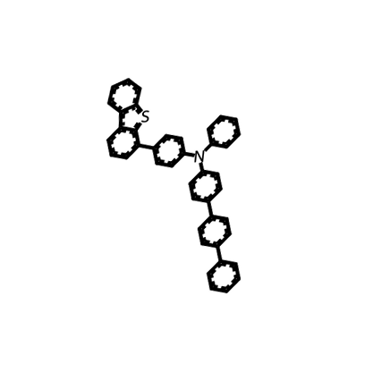 c1ccc(-c2ccc(-c3ccc(N(c4ccccc4)c4ccc(-c5cccc6c5sc5ccccc56)cc4)cc3)cc2)cc1